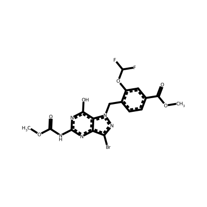 COC(=O)Nc1nc(O)c2c(n1)c(Br)nn2Cc1ccc(C(=O)OC)cc1OC(F)F